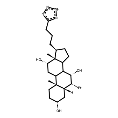 CC[C@H]1[C@@H](O)C2C3CC[C@H](CCCc4nn[nH]n4)[C@@]3(C)[C@@H](O)CC2[C@@]2(C)CC[C@@H](O)C[C@@H]12